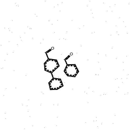 O=[C]c1ccc(-c2ccccc2)cc1.O=[C]c1ccccc1